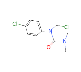 CN(C)C(=O)N(CCl)c1ccc(Cl)cc1